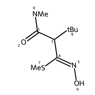 CNC(=O)C(/C(=N/O)SC)C(C)(C)C